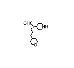 O=[C]N(CCCC1CCOCC1)C1CCNCC1